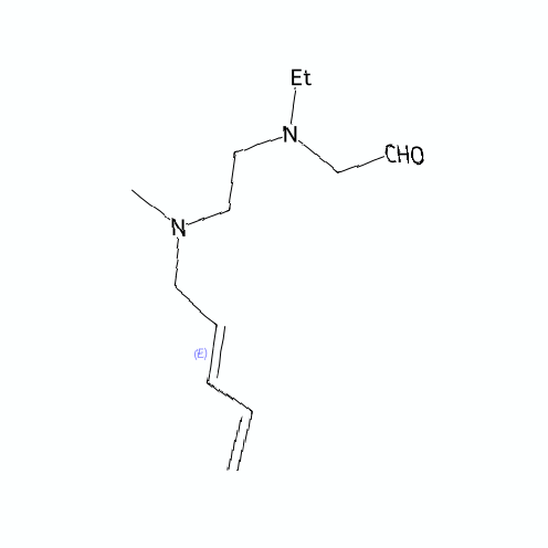 C=C/C=C/CN(C)CCN(CC)CC=O